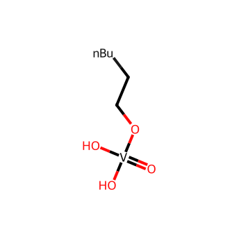 CCCCCC[O][V](=[O])([OH])[OH]